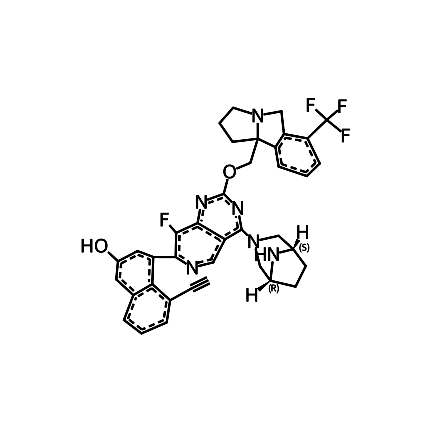 C#Cc1cccc2cc(O)cc(-c3ncc4c(N5C[C@H]6CC[C@@H](C5)N6)nc(OCC56CCCN5Cc5c(C(F)(F)F)cccc56)nc4c3F)c12